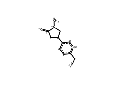 CCc1ccc(C2CC(=O)N(C)C2)cn1